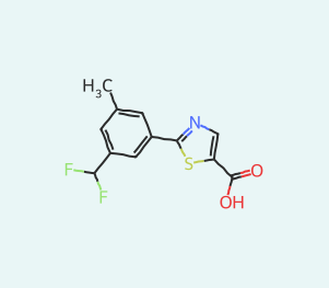 Cc1cc(-c2ncc(C(=O)O)s2)cc(C(F)F)c1